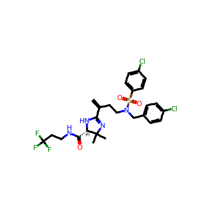 C=C(CCN(Cc1ccc(Cl)cc1)S(=O)(=O)c1ccc(Cl)cc1)C1=NC(C)(C)[C@H](C(=O)NCCC(F)(F)F)N1